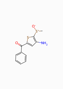 C[S+]([O-])c1sc(C(=O)c2ccccc2)cc1N